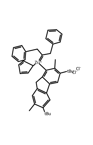 Cc1cc2c(cc1C(C)(C)C)-c1cc(C(C)(C)C)c(C)[c]([Zr+2](=[C](Cc3ccccc3)Cc3ccccc3)[CH]3C=CC=C3)c1C2.[Cl-].[Cl-]